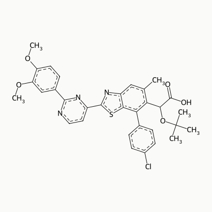 COc1ccc(-c2nccc(-c3nc4cc(C)c(C(OC(C)(C)C)C(=O)O)c(-c5ccc(Cl)cc5)c4s3)n2)cc1OC